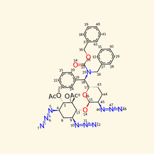 CC(=O)O[C@@H]1[C@@H](OC(C)=O)[C@H](N=[N+]=[N-])C[C@H](N=[N+]=[N-])[C@H]1O[C@H]1O[C@H]([C@@H](c2ccccc2)N(Cc2ccccc2)C(=O)OCc2ccccc2)CC[C@H]1N=[N+]=[N-]